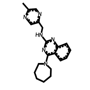 Cc1cnc(CNc2nc(N3CCCCCC3)c3ccccc3n2)cn1